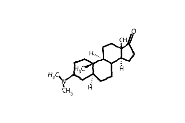 CN(C)C1CC[C@@]2(C)[C@@H](CCC3[C@@H]4CCC(=O)C4(C)CC[C@@H]32)C1